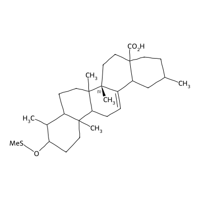 CSOC1CCC2(C)C(CCC3(C)C2CC=C2C4CC(C)CCC4(C(=O)O)CC[C@]23C)C1C